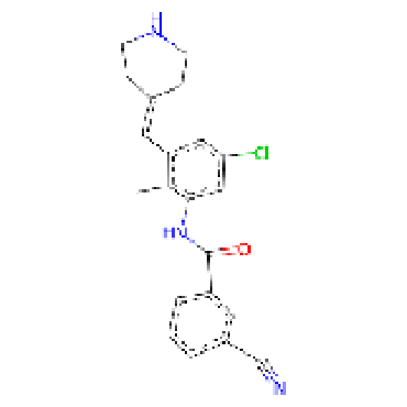 Cc1c(C=C2CCNCC2)cc(Cl)cc1NC(=O)c1cccc(C#N)c1